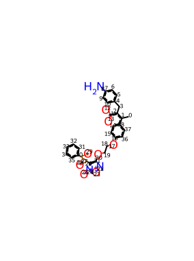 Cc1c(Cc2ccc(N)cc2)c(=O)oc2cc(OCCOc3no[n+]([O-])c3S(=O)(=O)c3ccccc3)ccc12